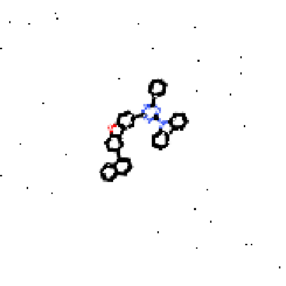 c1ccc(-c2nc(-c3ccc4oc5ccc(-c6cccc7ccccc67)cc5c4c3)nc(-n3c4ccccc4c4ccccc43)n2)cc1